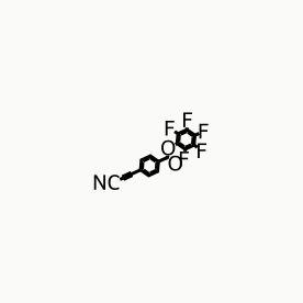 N#CC#Cc1ccc(C(=O)Oc2c(F)c(F)c(F)c(F)c2F)cc1